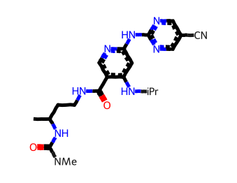 CNC(=O)NC(C)CCNC(=O)c1cnc(Nc2ncc(C#N)cn2)cc1NC(C)C